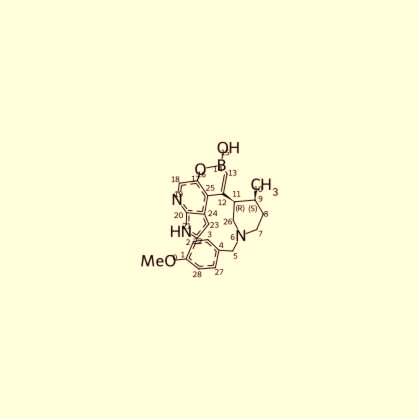 COc1ccc(CN2CC[C@H](C)[C@H](C3=CB(O)Oc4cnc5[nH]ccc5c43)C2)cc1